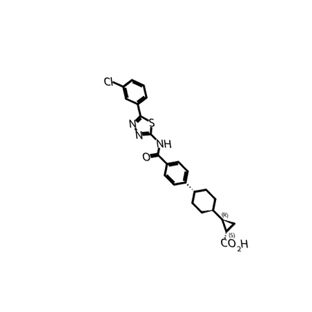 O=C(Nc1nnc(-c2cccc(Cl)c2)s1)c1ccc([C@H]2CC[C@H]([C@H]3C[C@@H]3C(=O)O)CC2)cc1